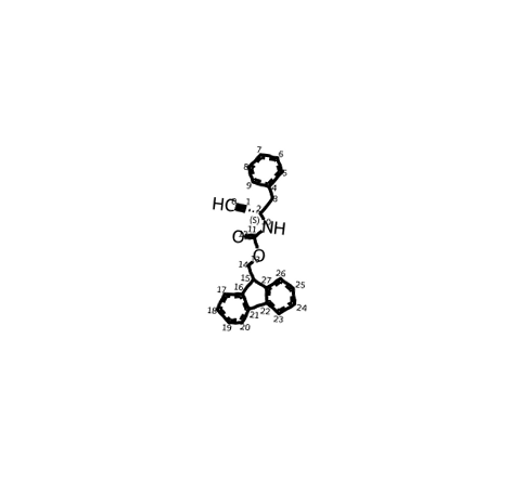 C#C[C@H](Cc1ccccc1)NC(=O)OCC1c2ccccc2-c2ccccc21